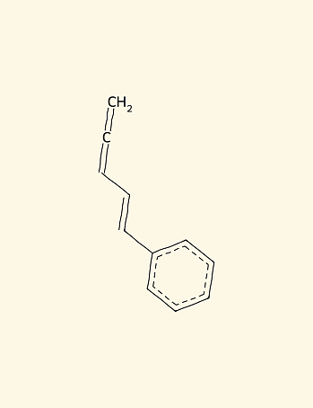 C=C=CC=Cc1ccccc1